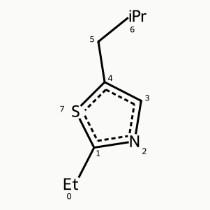 CCc1ncc(CC(C)C)s1